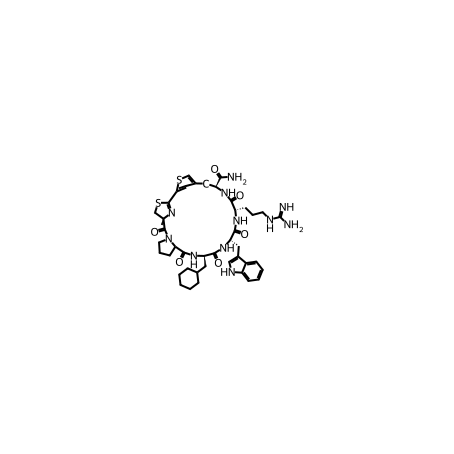 C[C@@]12CSC(=N1)c1cc(cs1)C[C@@H](C(N)=O)NC(=O)[C@H](CCCNC(=N)N)NC(=O)[C@H](Cc1c[nH]c3ccccc13)NC(=O)[C@@H](CC1CCCCC1)NC(=O)C1CCCN1C2=O